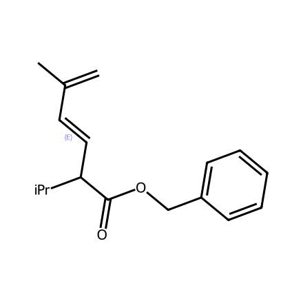 C=C(C)/C=C/C(C(=O)OCc1ccccc1)C(C)C